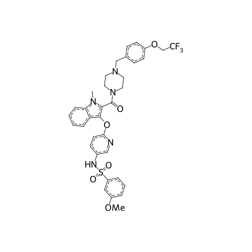 COc1cccc(S(=O)(=O)Nc2ccc(Oc3c(C(=O)N4CCN(Cc5ccc(OCC(F)(F)F)cc5)CC4)n(C)c4ccccc34)nc2)c1